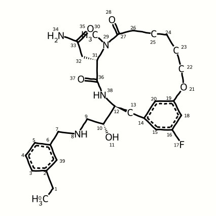 CCc1cccc(CNC[C@@H](O)[C@@H]2Cc3cc(F)cc(c3)OCCCCCC(=O)N(C)[C@@H](CC(N)=O)C(=O)N2)c1